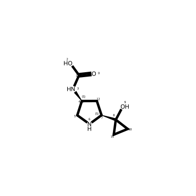 O=C(O)N[C@@H]1CN[C@H](C2(O)CC2)C1